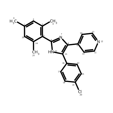 Cc1cc(C)c(-c2nc(-c3ccncc3)c(-c3ccc(Cl)cc3)[nH]2)c(C)c1